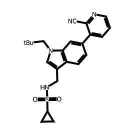 CC(C)(C)Cn1cc(CNS(=O)(=O)C2CC2)c2ccc(-c3cccnc3C#N)cc21